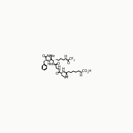 CNC(=O)[C@H](Cc1ccccc1)NC(=O)[C@H](CCCCNC(=O)C(F)(F)F)NC(=O)CNC(=O)[C@H](CC(C)C)NC(=O)CCCCCNC(=O)O